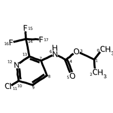 CC(C)OC(=O)Nc1ccc(Cl)nc1C(F)(F)F